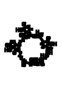 O=C1NCCCN(C(=O)c2cccc(=O)n2O)CCCCN(C(=O)c2cccc(=O)n2O)CCCNC(=O)c2ccc(n(O)c2=O)C(=O)NCCNC(=O)C2=CC=C1C(O)N2O